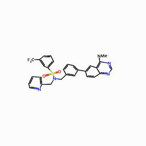 CNc1ncnc2ccc(-c3cccc(CN(Cc4ccccn4)S(=O)(=O)c4cccc(C(F)(F)F)c4)c3)cc12